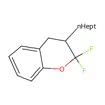 CCCCCCCC1Cc2ccccc2OC1(F)F